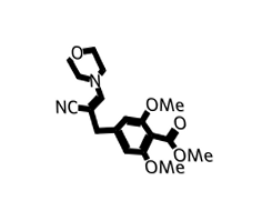 COC(=O)c1c(OC)cc(CC(C#N)=CN2CCOCC2)cc1OC